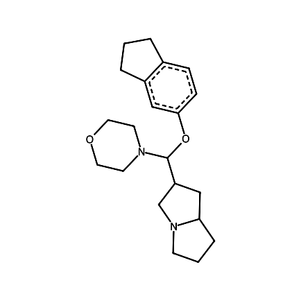 c1cc2c(cc1OC(C1CC3CCCN3C1)N1CCOCC1)CCC2